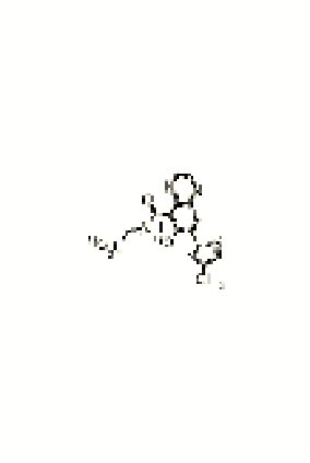 Cc1csc(-c2cc3nccnc3c(C(=O)NCC(=O)O)c2O)n1